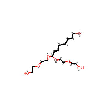 OCCOCCOC(CCCCCCCBr)OCCOCCO